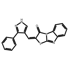 O=c1/c(=C\c2c[nH]nc2-c2ccccc2)sc2nc3ccccc3n12